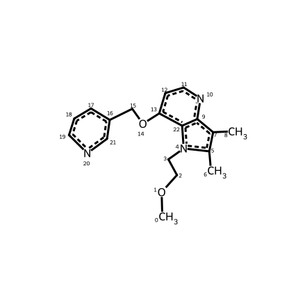 COCCn1c(C)c(C)c2nccc(OCc3cccnc3)c21